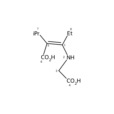 CCC(NCC(=O)O)=C(C(=O)O)C(C)C